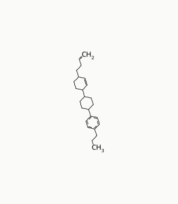 C=CCCC1C=CC(C2CCC(c3ccc(CCC)cc3)CC2)CC1